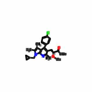 COC(=O)[C@H](Cc1c(C)nc2c(c(C)c(C)n2CC2CC2)c1-c1ccc(Cl)cc1)OC(C)(C)C